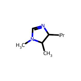 CC(C)C1N=CN(C)C1C